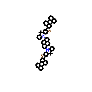 CC1(C)c2ccccc2N(c2ccc3ccc4c(N5c6ccccc6C(C)(C)c6cc7c(cc65)sc5cc6c8cccc9cccc(c%10cccc(c57)c%106)c98)ccc5ccc2c3c54)c2cc3sc4cc5c6cccc7cccc(c8cccc(c4c3cc21)c85)c76